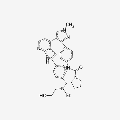 CCN(CCO)Cc1ccc(-c2cc3c(-c4cn(C)nc4-c4ccc(NC(=O)N5CCCC5)cc4)ccnc3[nH]2)cc1